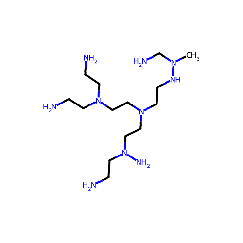 CN(CN)NCCN(CCN(N)CCN)CCN(CCN)CCN